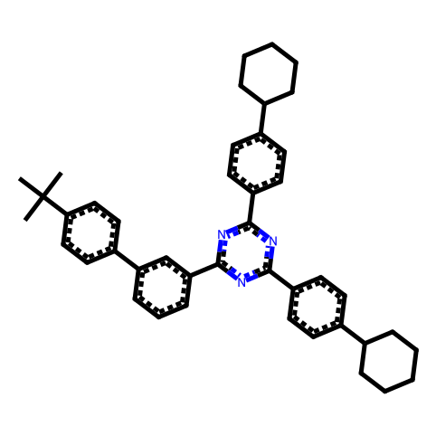 CC(C)(C)c1ccc(-c2cccc(-c3nc(-c4ccc(C5CCCCC5)cc4)nc(-c4ccc(C5CCCCC5)cc4)n3)c2)cc1